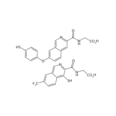 O=C(O)CNC(=O)c1cc2ccc(Oc3ccc(S)cc3)cc2cn1.O=C(O)CNC(=O)c1ncc2cc(C(F)(F)F)ccc2c1S